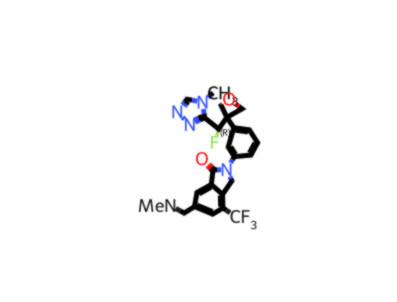 CNCc1cc2c(c(C(F)(F)F)c1)CN(c1cccc(C3([C@@H](F)c4nncn4C)COC3)c1)C2=O